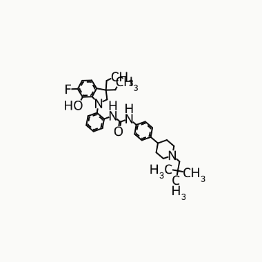 CCC1(CC)CN(c2ccccc2NC(=O)Nc2ccc(C3CCN(CC(C)(C)C)CC3)cc2)c2c1ccc(F)c2O